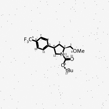 COC[C@@H]1CC(c2ccc(C(F)(F)F)cc2)CN1C(=O)OC(C)(C)C